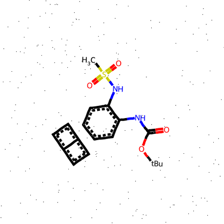 CC(C)(C)OC(=O)Nc1ccccc1NS(C)(=O)=O.c1cc2ccc1-2